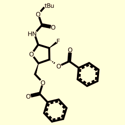 CC(C)(C)OC(=O)NC1O[C@H](COC(=O)c2ccccc2)[C@@H](OC(=O)c2ccccc2)[C@@H]1F